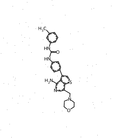 Cc1cccc(NC(=O)Nc2ccc(-c3csc4c(CN5CCOCC5)cnc(N)c34)cc2)c1